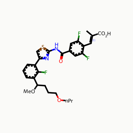 CCCOCCCC(OC)c1cccc(-c2csc(NC(=O)c3cc(F)c(/C=C(\C)C(=O)O)c(F)c3)n2)c1F